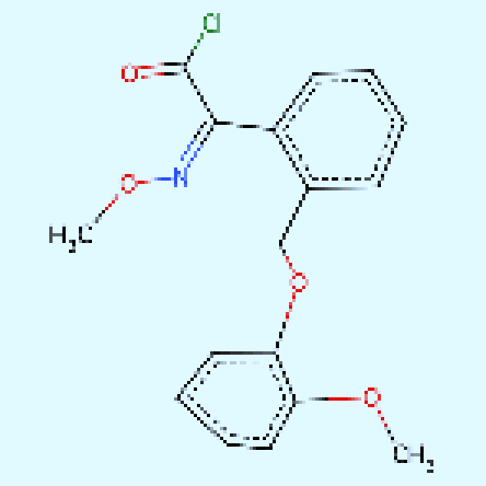 CON=C(C(=O)Cl)c1ccccc1COc1ccccc1OC